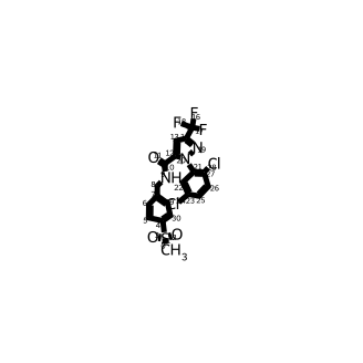 CS(=O)(=O)c1ccc(CNC(=O)c2cc(C(F)(F)F)nn2-c2cc(Cl)ccc2Cl)cc1